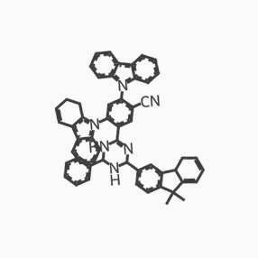 CC1(C)C2=CC=CCC2c2cc(C3N=C(c4cc(C#N)c(-n5c6ccccc6c6ccccc65)cc4-n4c5c(c6ccccc64)C=CCC5)NC(c4ccccc4)N3)ccc21